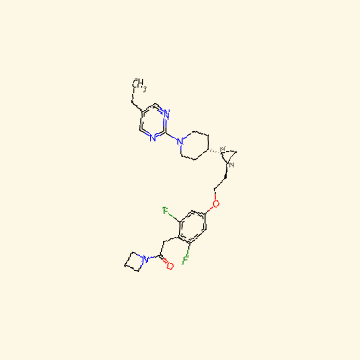 CCc1cnc(N2CCC([C@@H]3C[C@H]3CCOc3cc(F)c(CC(=O)N4CCC4)c(F)c3)CC2)nc1